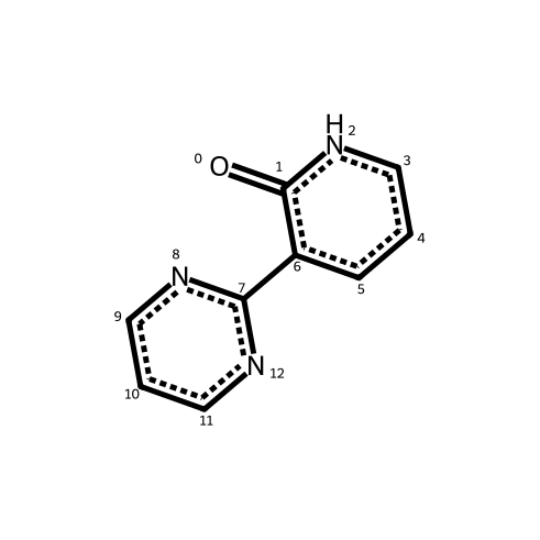 O=c1[nH]cccc1-c1ncccn1